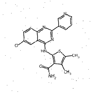 Cc1sc(Nc2nc(-c3cccnc3)nc3ccc(Cl)cc23)c(C(N)=O)c1C